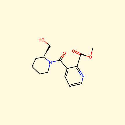 COC(=O)c1ncccc1C(=O)N1CCCC[C@H]1CO